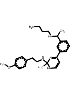 COc1ccc(CCNC2(C)N=C(c3cccc(C(C)NCCCN)c3)C=CN2)cc1